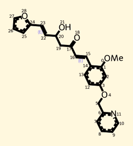 COc1cc(OCc2ccccn2)ccc1/C=C/C(=O)CC(O)/C=C/c1ccco1